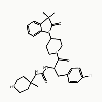 CC1(NC(=O)NC(Cc2ccc(Cl)cc2)C(=O)N2CCC(N3C(=O)C(C)(C)c4ccccc43)CC2)CCNCC1